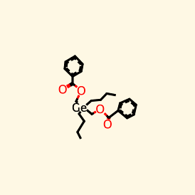 CCC[CH2][Ge]([CH2]CCC)([CH2]OC(=O)c1ccccc1)[CH2]OC(=O)c1ccccc1